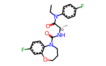 CCN(C(=O)[C@H](C)NC(=O)N1CCCOc2cc(F)ccc21)c1ccc(F)cc1